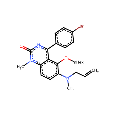 C=CCN(C)c1ccc2c(c(-c3ccc(Br)cc3)nc(=O)n2C)c1OCCCCCC